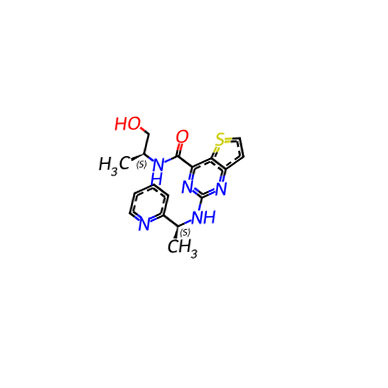 C[C@H](Nc1nc(C(=O)N[C@@H](C)CO)c2sccc2n1)c1ccccn1